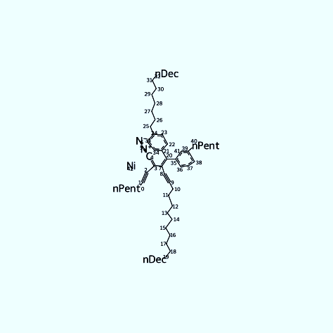 CCCCCC#CC(=C=[N+]=[N-])C(C#CCCCCCCCCCCCCCCCCCCC)=C(c1ccc(CCCCCCCCCCCCCCCCC)cc1)c1cccc(CCCCC)c1.[Ni]